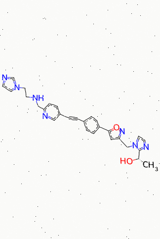 C[C@H](O)c1nccn1Cc1cc(-c2ccc(C#Cc3ccc(CNCCn4ccnc4)nc3)cc2)on1